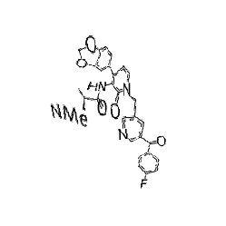 CN[C@@H](C)C(=O)Nc1c(-c2ccc3c(c2)OCO3)ccn(Cc2cncc(C(=O)c3ccc(F)cc3)c2)c1=O